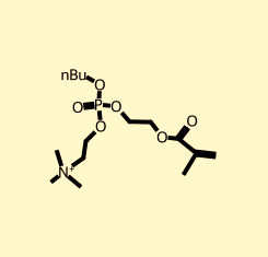 C=C(C)C(=O)OCCOP(=O)(OCCCC)OCC[N+](C)(C)C